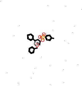 Cc1ccc(S(=O)(=O)OC(COCc2ccccc2)CC(C#N)c2ccccc2)cc1